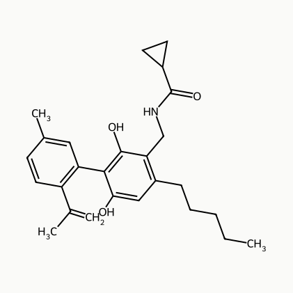 C=C(C)c1ccc(C)cc1-c1c(O)cc(CCCCC)c(CNC(=O)C2CC2)c1O